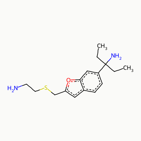 CCC(N)(CC)c1ccc2cc(CSCCN)oc2c1